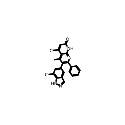 Cc1c(-c2cc(Cl)c3[nH]ncc3c2)c(-c2ccccc2)nc2[nH]c(=O)cc(Cl)c12